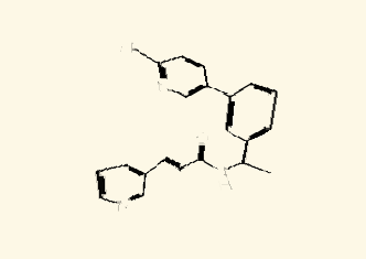 CC(NC(=O)C=Cc1cccnc1)c1cccc(-c2ccc(Cl)nc2)c1